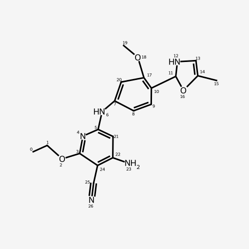 CCOc1nc(Nc2ccc(C3NC=C(C)O3)c(OC)c2)cc(N)c1C#N